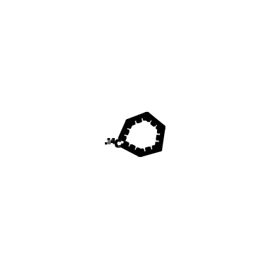 c1cc[14c]cc1